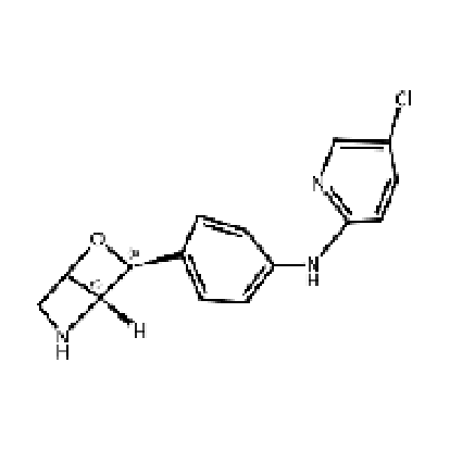 Clc1ccc(Nc2ccc([C@@H]3OC4CN[C@H]43)cc2)nc1